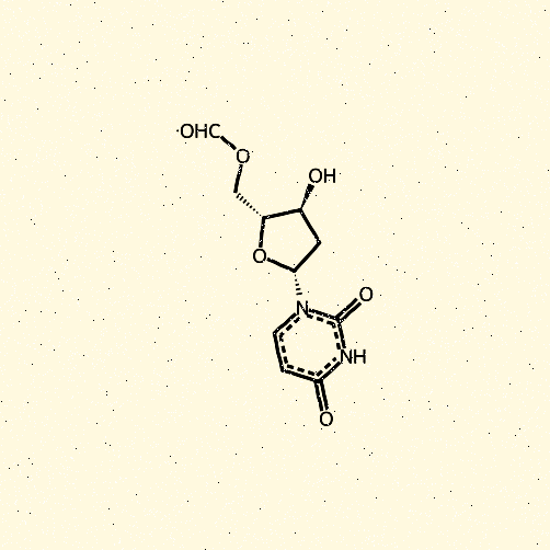 O=[C]OC[C@H]1O[C@@H](n2ccc(=O)[nH]c2=O)C[C@@H]1O